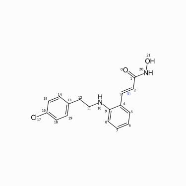 O=C(/C=C/c1ccccc1NCCc1ccc(Cl)cc1)NO